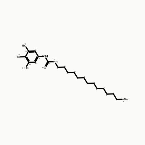 CCCCCCCCCCCCCCCCCCCCCCCNC(=O)Nc1cc(O)c(O)c(O)c1